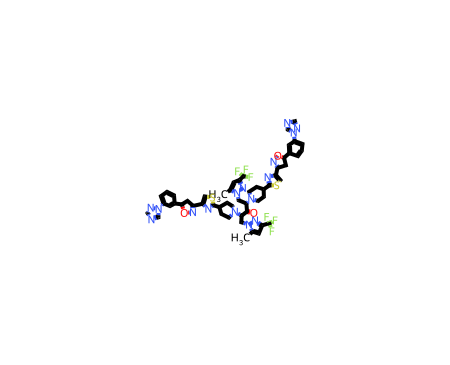 Cc1cc(C(F)(F)F)nn1CC(C(=O)C(Cn1nc(C(F)(F)F)cc1C)N1CCC(c2nc(C3=NOC(c4cccc(-n5cncn5)c4)C3)cs2)CC1)N1CCC(c2nc(C3=NOC(c4cccc(-n5cncn5)c4)C3)cs2)CC1